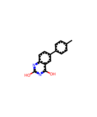 Cc1ccc(-c2ccc3nc(O)nc(O)c3c2)cc1